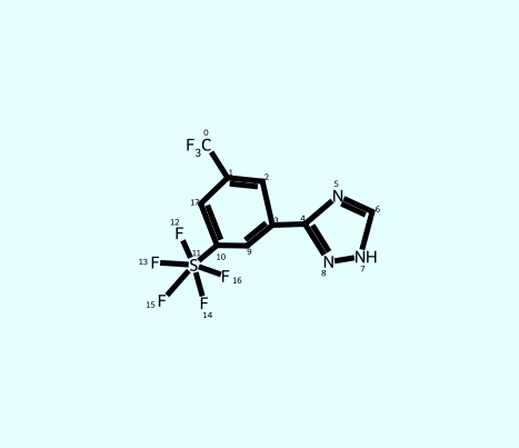 FC(F)(F)c1cc(-c2nc[nH]n2)cc(S(F)(F)(F)(F)F)c1